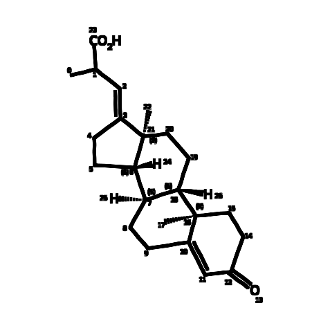 CC(C=C1CC[C@H]2[C@@H]3CCC4=CC(=O)CC[C@]4(C)[C@H]3CC[C@]12C)C(=O)O